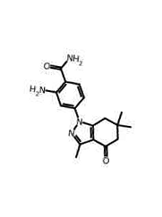 Cc1nn(-c2ccc(C(N)=O)c(N)c2)c2c1C(=O)CC(C)(C)C2